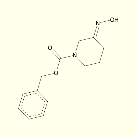 O=C(OCc1ccccc1)N1CCC/C(=N\O)C1